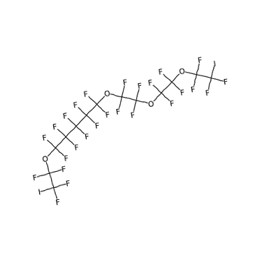 FC(F)(I)C(F)(F)OC(F)(F)C(F)(F)OC(F)(F)C(F)(F)OC(F)(F)C(F)(F)C(F)(F)C(F)(F)C(F)(F)OC(F)(F)C(F)(F)I